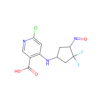 O=NC1CC(Nc2cc(Cl)ncc2C(=O)O)CC1(F)F